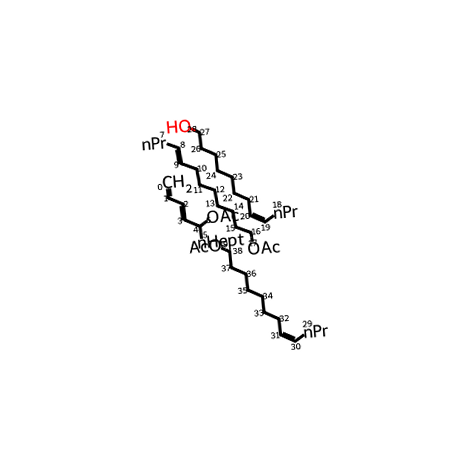 C=C/C=C/C(CCCCCCC)OC(C)=O.CCC/C=C/CCCCCCCOC(C)=O.CCC/C=C\CCCCCCCO.CCC/C=C\CCCCCCCOC(C)=O